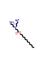 CCCCCCCCCCCCOC(=O)CCN(CCCN)CCCN(C)C